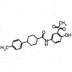 Cc1ccc(C2CCC(C(=O)Nc3ccc(O)c(S(C)(=O)=O)c3)CC2)cc1